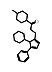 CC1CCC(C(=O)CCC2=CC=C(c3ccccc3)C2C2CCCCC2)CC1